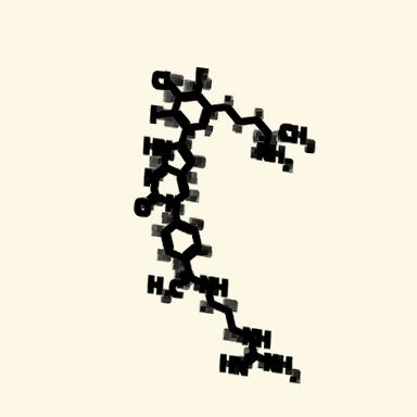 C[C@H](N)CCCc1cc(-c2cc3cn(-c4ccc([C@H](C)NCCCNC(=N)N)cc4)c(=O)nc3[nH]2)c(F)c(Cl)c1F